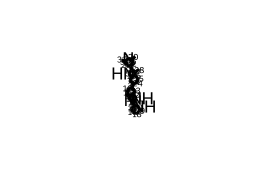 Cc1cc(-c2[nH]c3cc(-c4ccc5nc([C@@H]6CCCCN6)[nH]c5c4)ccc3c2C)cc(C)n1